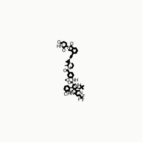 COc1cc(C(=O)N2CCC[C@@]3(C[C@H]3C#Cc3cccc4c3CN(C3CCC(=O)NC3=O)C4=O)[C@@H]2C)ccc1NC(=O)[C@@H]1N[C@@H](CC(C)(C)C)[C@@]2(CNc3cc(C(F)(F)F)ncc32)[C@H]1c1cccc(Cl)c1F